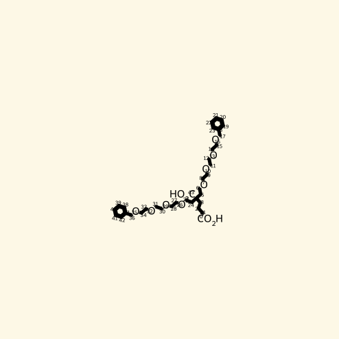 O=C(O)CCCC(CCOCCOCCOCCOCc1ccccc1)(CCOCCOCCOCCOCc1ccccc1)C(=O)O